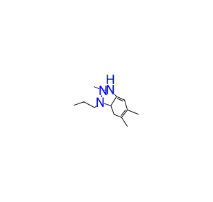 CCCN1C2CC(C)=C(C)C=C2NN1C